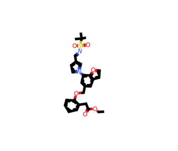 CCOC(=O)Cc1ccccc1OCc1cc(-n2ccc(C=NS(=O)(=O)C(C)(C)C)c2)c2occc2c1